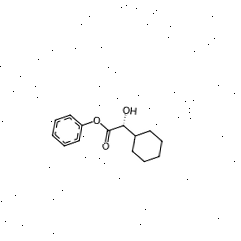 O=C(Oc1ccccc1)[C@H](O)C1CCCCC1